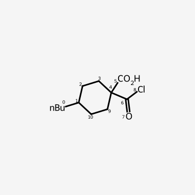 CCCCC1CCC(C(=O)O)(C(=O)Cl)CC1